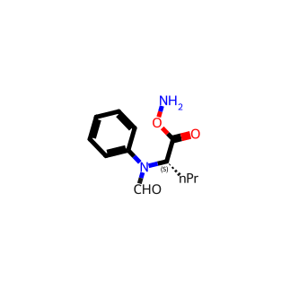 CCC[C@@H](C(=O)ON)N(C=O)c1ccccc1